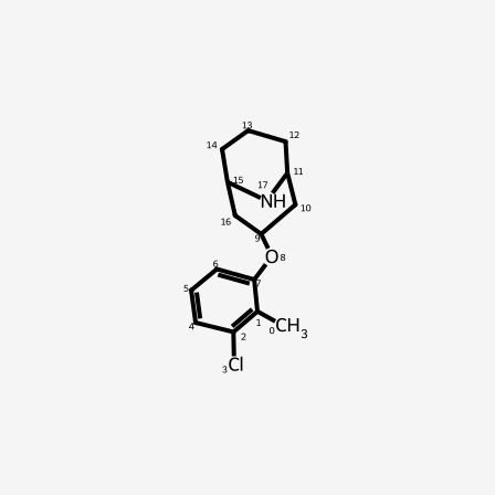 Cc1c(Cl)cccc1OC1CC2CCCC(C1)N2